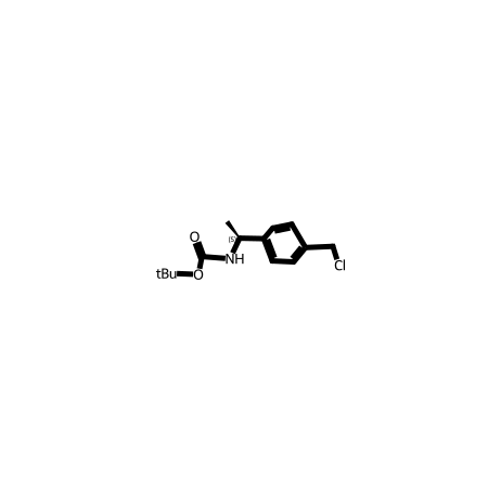 C[C@H](NC(=O)OC(C)(C)C)c1ccc(CCl)cc1